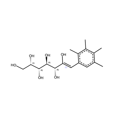 Cc1cc(/C=C(\O)[C@H](O)[C@H](O)[C@H](O)[C@@H](O)CO)c(C)c(C)c1C